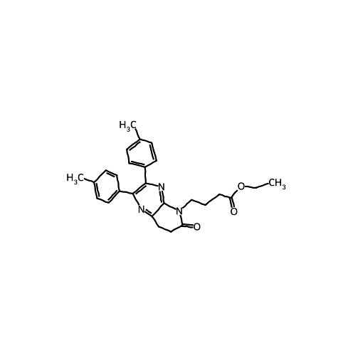 CCOC(=O)CCCN1C(=O)CCc2nc(-c3ccc(C)cc3)c(-c3ccc(C)cc3)nc21